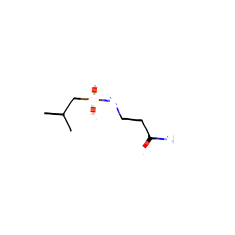 CC(C)CS(=O)(=O)NCCC(N)=O